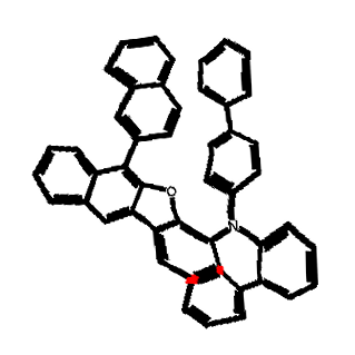 c1ccc(-c2ccc(N(c3ccccc3-c3ccccc3)c3cccc4c3oc3c(-c5ccc6ccccc6c5)c5ccccc5cc34)cc2)cc1